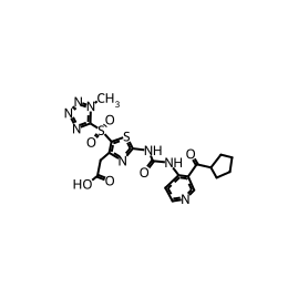 Cn1nnnc1S(=O)(=O)c1sc(NC(=O)Nc2ccncc2C(=O)C2CCCC2)nc1CC(=O)O